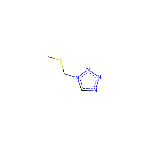 CSCn1[c]nnn1